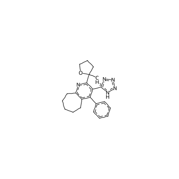 CC1(c2nc3c(c(-c4ccccc4)c2-c2nnn[nH]2)CCCCC3)CCCO1